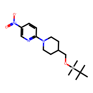 CC(C)(C)[Si](C)(C)OCC1CCN(c2ccc([N+](=O)[O-])cn2)CC1